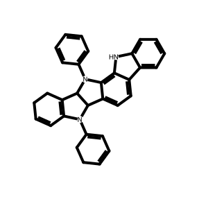 C1=CCCC(N2C3=C(CCC=C3)C3C2c2ccc4c([nH]c5ccccc54)c2N3c2ccccc2)=C1